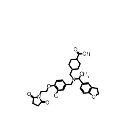 CC(c1ccc2c(c1)CCO2)N(Cc1ccc(OCCN2C(=O)CCC2=O)c(Cl)c1)CC1CCC(C(=O)O)CC1